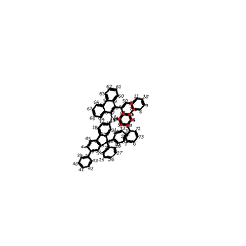 c1ccc(-c2cc(-c3ccccc3)cc(N(c3ccc4c(c3)C(c3ccccc3)(c3ccccc3)c3cc(-c5ccccc5)ccc3-4)c3c(-c4cccc5ccccc45)c4ccccc4c4ccccc34)c2)cc1